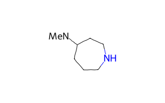 CNC1CCCNCC1